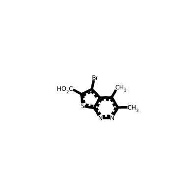 Cc1nnc2sc(C(=O)O)c(Br)c2c1C